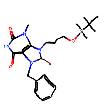 Cn1c2c(c(=O)[nH]c1=O)N(Cc1ccccc1)C(Br)N2CCCO[Si](C)(C)C(C)(C)C